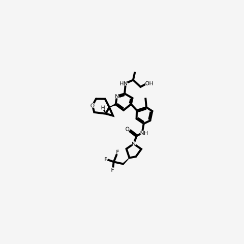 Cc1ccc(NC(=O)N2CC[C@@H](CC(F)(F)F)C2)cc1-c1cc(NC(C)CO)nc([C@]23CCOC[C@H]2C3)c1